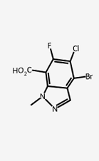 Cn1ncc2c(Br)c(Cl)c(F)c(C(=O)O)c21